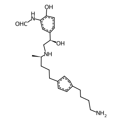 C[C@H](CCCc1ccc(CCCCN)cc1)NC[C@H](O)c1ccc(O)c(NC=O)c1